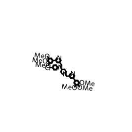 COc1cc(-c2cncc(CN3CCC(N(Cc4cncc(-c5cc(OC)c(OC)c(OC)c5)c4)c4ccc(Cl)cc4)CC3)c2)cc(OC)c1OC